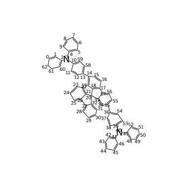 C1=CC(N(c2ccccc2)c2ccc(-c3ccc4c(c3)C3(c5ccccc5-c5ccccc53)c3cc(-c5ccc(N(c6ccccc6)c6ccccc6)cc5)ccc3-4)cc2)=CCC1